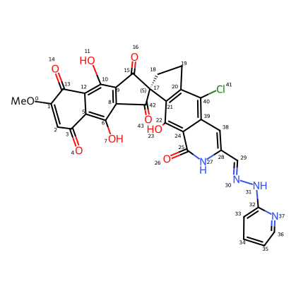 COC1=CC(=O)c2c(O)c3c(c(O)c2C1=O)C(=O)[C@]1(CCc2c1c(O)c1c(=O)[nH]c(C=NNc4ccccn4)cc1c2Cl)C3=O